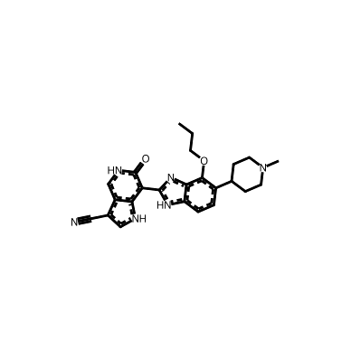 CCCOc1c(C2CCN(C)CC2)ccc2[nH]c(-c3c(=O)[nH]cc4c(C#N)c[nH]c34)nc12